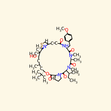 CC[C@H](C)C1C(=O)N2CCC[C@H]2C(=O)O[C@H](C(C)(C)C)C[C@@H](C)C[C@H](O)C(C)(C)C2=N[C@@H](CCC(=O)N[C@@H](Cc3ccc(OC)cc3)C(=O)N(C)[C@@H](C)C(=O)N1C)CS2